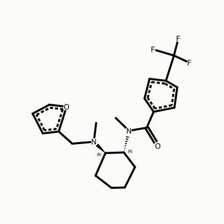 CN(Cc1ccco1)[C@@H]1CCCC[C@H]1N(C)C(=O)c1ccc(C(F)(F)F)cc1